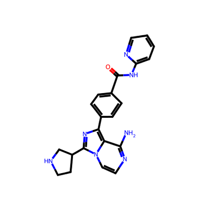 Nc1nccn2c(C3CCNC3)nc(-c3ccc(C(=O)Nc4ccccn4)cc3)c12